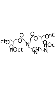 CCCCCCCCOCC(COCCCCCCCC)COC(=O)CCN(CCC(=O)OCC(COCCCCCCCC)COCCCCCCCC)Cc1cnn(CCN(C)C)c1